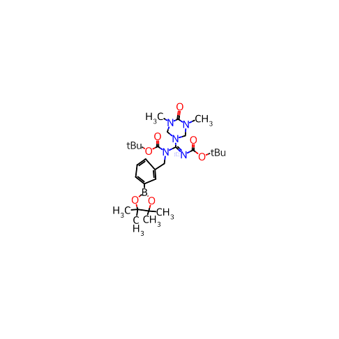 CN1CN(/C(=N\C(=O)OC(C)(C)C)N(Cc2cccc(B3OC(C)(C)C(C)(C)O3)c2)C(=O)OC(C)(C)C)CN(C)C1=O